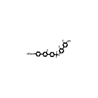 CCCCCc1ccc(-c2ccc(-c3ccc(C(F)(F)Oc4ccc(-c5ccc(CCC)c(F)c5)c(F)c4)cc3)c(F)c2)cc1